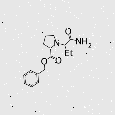 CCC(C(N)=O)N1CCCC1C(=O)OCc1ccccc1